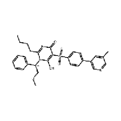 CCCCc1nc(=O)c(S(=O)(=O)c2ccc(-c3cncc(C)c3)cc2)c(O)n1[C@@H](COC)c1ccccc1